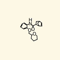 O=C(Nc1ccccc1OCC1CCCCO1)C1CC2C=CC1C2